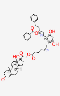 C[C@]12CCC(=O)C=C1CC[C@@H]1C2=CC[C@@]2(C)[C@H]1CC[C@]2(O)C(=O)COC(=O)CCC/C=C\C[C@@H]1[C@@H](/C=C/[C@H](CCc2ccccc2)OC(=O)c2ccccc2)[C@H](O)C[C@@H]1O